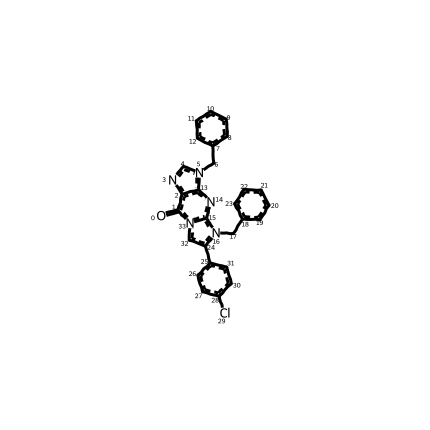 O=c1c2ncn(Cc3ccccc3)c2nc2n(Cc3ccccc3)c(-c3ccc(Cl)cc3)cn12